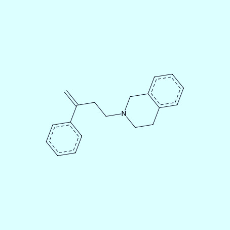 C=C(CCN1CCc2ccccc2C1)c1ccccc1